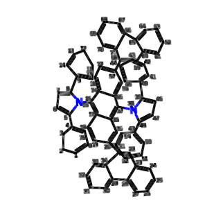 C1=CCCC(c2ccc(C3=CCCC=C3)n2-c2c3ccc(-c4cc5ccccc5c5ccccc45)cc3c(-n3c(-c4ccccc4)ccc3-c3ccccc3)c3cc(-c4cc5ccccc5c5ccccc45)ccc23)=C1